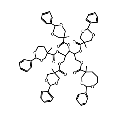 CC1(C(=O)OCC(OC(=O)C2(C)COC(c3ccccc3)OC2)C(OC(=O)C2(C)COC(c3ccccc3)OC2)C(COC(=O)C2(C)COC(c3ccccc3)OC2)OC(=O)C2(C)CCOC(c3ccccc3)OC2)CCCOC(c2ccccc2)OC1